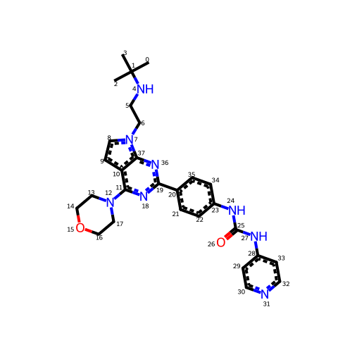 CC(C)(C)NCCn1ccc2c(N3CCOCC3)nc(-c3ccc(NC(=O)Nc4ccncc4)cc3)nc21